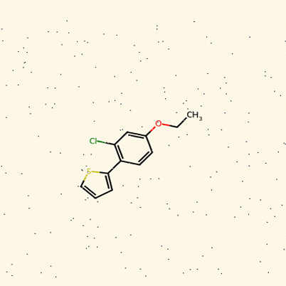 CCOc1ccc(-c2cc[c]s2)c(Cl)c1